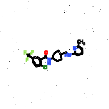 Cc1cccc(NCC2CCC(NC(=O)c3cc(C(F)(F)F)ccc3Cl)CC2)n1